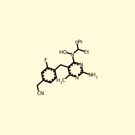 CCCC(CC)N(O)c1nc(N)nc(C)c1Cc1ccc(CC#N)cc1F